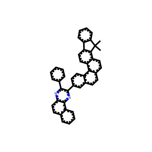 CC1(C)c2ccccc2-c2ccc3c(ccc4ccc5cc(-c6nc7c(ccc8ccccc87)nc6-c6ccccc6)ccc5c43)c21